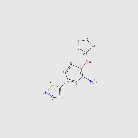 Nc1cc(-c2ccns2)ccc1OC1CCCC1